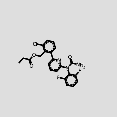 CCC(=O)OCc1c(Cl)cccc1-c1cccc(N(C(N)=O)c2c(F)cccc2F)n1